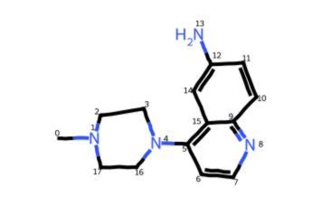 CN1CCN(c2ccnc3ccc(N)cc23)CC1